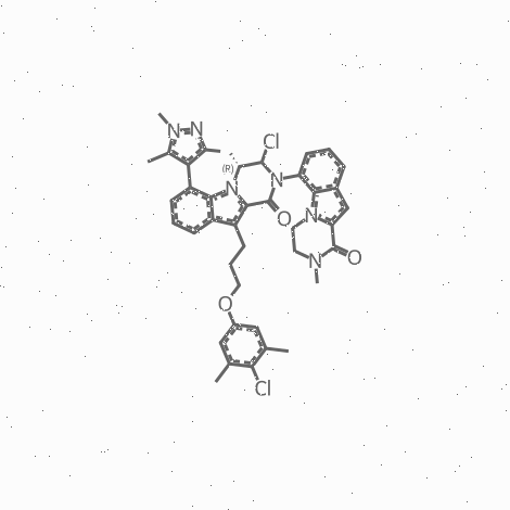 Cc1cc(OCCCc2c3n(c4c(-c5c(C)nn(C)c5C)cccc24)[C@H](C)C(Cl)N(c2cccc4cc5n(c24)CCN(C)C5=O)C3=O)cc(C)c1Cl